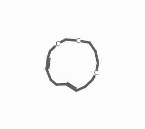 C1=C\CCCCCCCCCC/C=C/CC/1